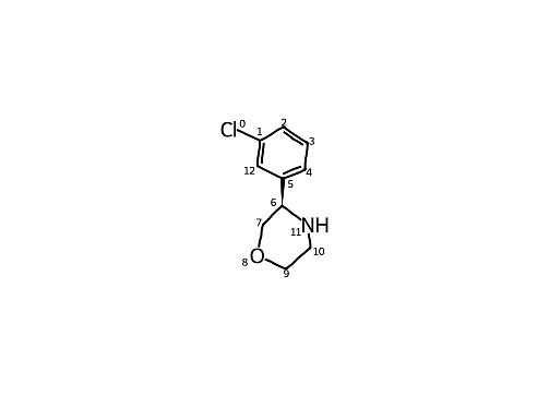 Clc1cccc([C@@H]2COCCN2)c1